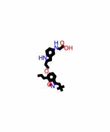 CCCc1c(OCCc2cc3cc(NCC(=O)O)ccc3[nH]2)ccc2c(CC(C)(C)C)noc12